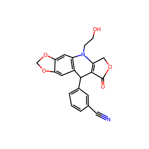 N#Cc1cccc(C2C3=C(COC3=O)N(CCO)c3cc4c(cc32)OCO4)c1